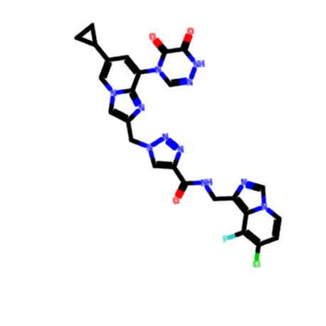 O=C(NCc1ncn2ccc(Cl)c(F)c12)c1cn(Cc2cn3cc(C4CC4)cc(-n4cn[nH]c(=O)c4=O)c3n2)nn1